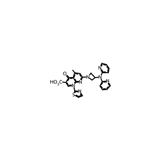 Cc1cc(N2CC(N(c3ccccn3)c3ccccn3)C2)nc2c1c(=O)c(C(=O)O)cn2-c1nccs1